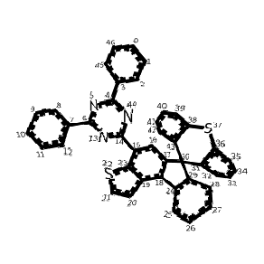 c1ccc(-c2nc(-c3ccccc3)nc(-c3cc4c(c5ccsc35)-c3ccccc3C43c4ccccc4Sc4ccccc43)n2)cc1